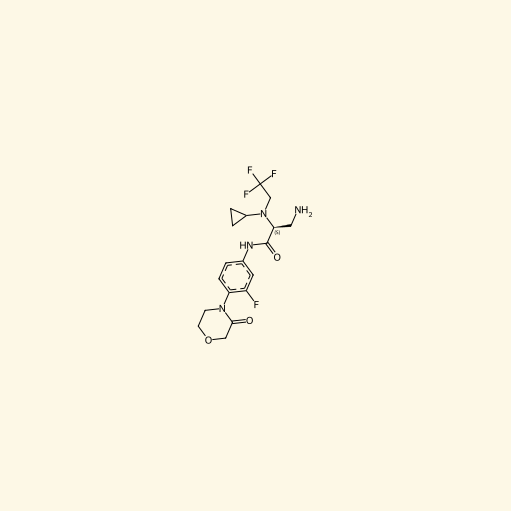 NC[C@@H](C(=O)Nc1ccc(N2CCOCC2=O)c(F)c1)N(CC(F)(F)F)C1CC1